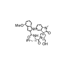 COc1cccc2[nH]c(C(=O)N[C@@H](CC(C)C)C(=O)N3C[C@]4(C[C@H]3CO)C(=O)N(C)c3ccccc34)cc12